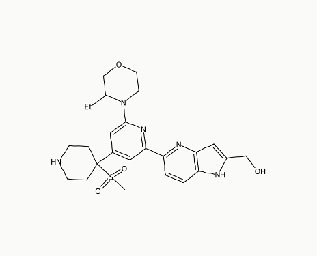 CCC1COCCN1c1cc(C2(S(C)(=O)=O)CCNCC2)cc(-c2ccc3[nH]c(CO)cc3n2)n1